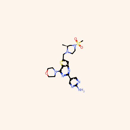 C[C@H]1CN(S(C)(=O)=O)CCN1Cc1cc2nc(-c3cnc(N)nc3)nc(N3CCOCC3)c2s1